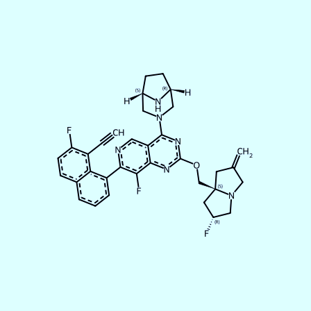 C#Cc1c(F)ccc2cccc(-c3ncc4c(N5C[C@H]6CC[C@@H](C5)N6)nc(OC[C@@]56CC(=C)CN5C[C@H](F)C6)nc4c3F)c12